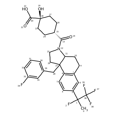 CC(F)(c1ccc2c(c1)CCC1N(C(=O)[C@H]3CC[C@@](O)(C(=O)O)CC3)CCC21Cc1cccc(F)c1)C(F)(F)F